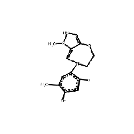 Cc1cc(N2C=C3C(=CNN3C)OCC2)c(F)cc1Br